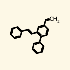 C=Cc1ccc(-c2ccccc2)c(C=Cc2ccccc2)c1